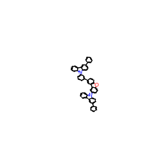 c1ccc(-c2ccc3c(c2)c2ccccc2n3-c2cccc(-c3ccc4oc5ccc(-n6c7ccccc7c7cc(-c8ccccc8)ccc76)cc5c4c3)c2)cc1